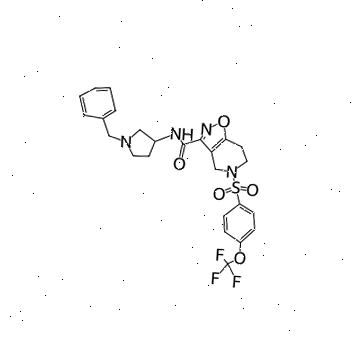 O=C(NC1CCN(Cc2ccccc2)C1)c1noc2c1CN(S(=O)(=O)c1ccc(OC(F)(F)F)cc1)CC2